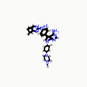 Cc1ccc2cnc(Nc3ccc(-c4cn([C@H]5CC[C@H](N6CCN(C)CC6)CC5)c5ncnc(N)c45)cc3)nc2c1